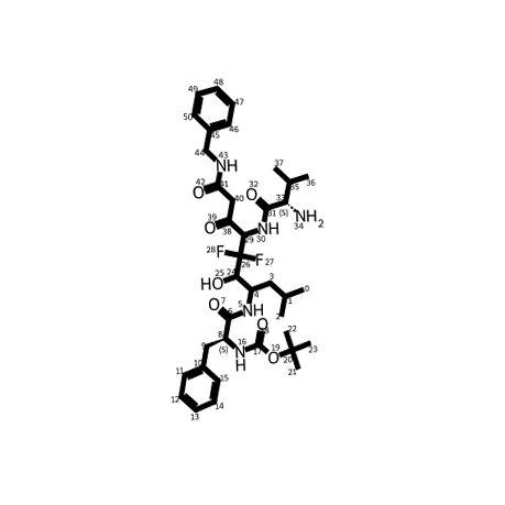 CC(C)CC(NC(=O)[C@H](Cc1ccccc1)NC(=O)OC(C)(C)C)C(O)C(F)(F)C(NC(=O)[C@@H](N)C(C)C)C(=O)CC(=O)NCc1ccccc1